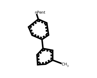 CCCCCc1ccc(-c2cccc(C)c2)cc1